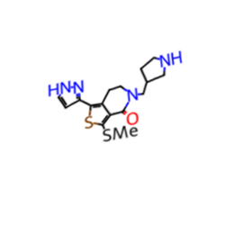 CSc1sc(-c2cc[nH]n2)c2c1C(=O)N(CC1CCNC1)CC2